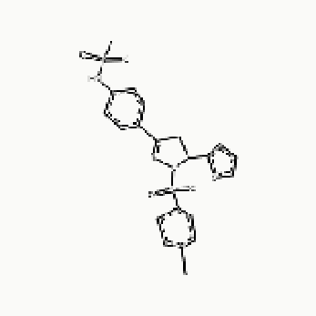 Cc1ccc(S(=O)(=O)N2N=C(c3ccc(NS(C)(=O)=O)cc3)CC2c2ccco2)cc1